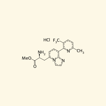 COC(=O)[C@@H](N)Cc1ccc(-c2nc(C)ccc2C(F)(F)F)c2nccn12.Cl